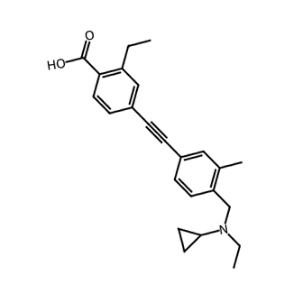 CCc1cc(C#Cc2ccc(CN(CC)C3CC3)c(C)c2)ccc1C(=O)O